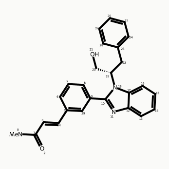 CNC(=O)/C=C/c1cccc(-c2nc3ccccc3n2[C@H](CO)Cc2ccccc2)c1